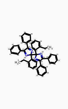 CCc1ccccc1C1(C2(c3ccccc3CC)N=C(c3ccccc3)C(c3ccccc3)=N2)N=C(c2ccccc2)C(c2ccccc2)=N1